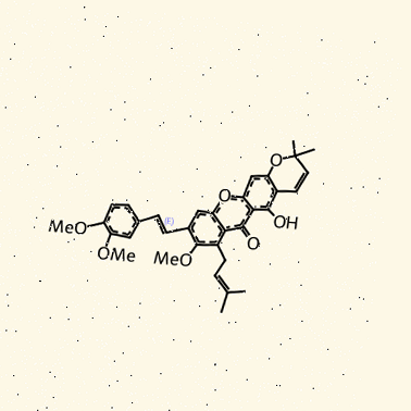 COc1ccc(/C=C/c2cc3oc4cc5c(c(O)c4c(=O)c3c(CC=C(C)C)c2OC)C=CC(C)(C)O5)cc1OC